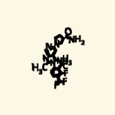 Cc1nc(NC(C)c2cccc(C(F)F)c2F)c2cc(N3CC[C@H](C(N)=O)C3)ncc2n1